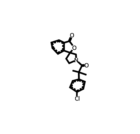 CC(C)(C(=O)N1CCC2(C1)OC(=O)c1ccccc12)c1ccc(Cl)cc1